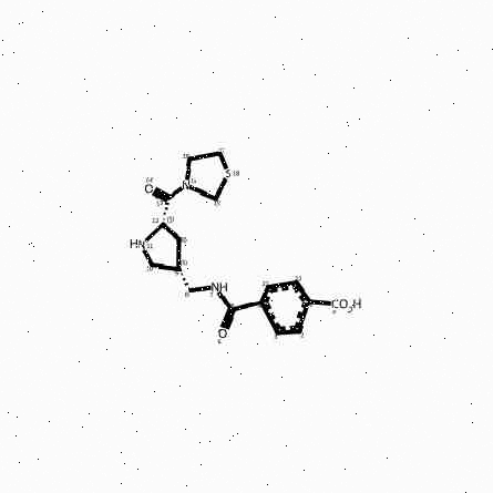 O=C(O)c1ccc(C(=O)NC[C@@H]2CN[C@H](C(=O)N3CCSC3)C2)cc1